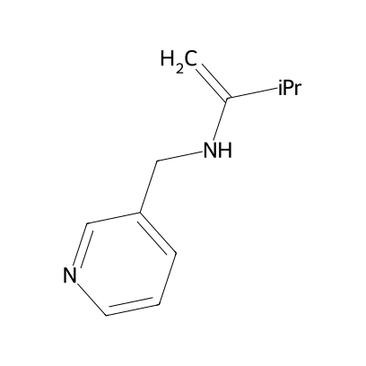 C=C(NCc1cccnc1)C(C)C